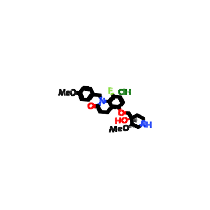 COc1ccc(CN2C(=O)CCc3c(OC[C@@]4(O)CCNC[C@@H]4OC)ccc(F)c32)cc1.Cl